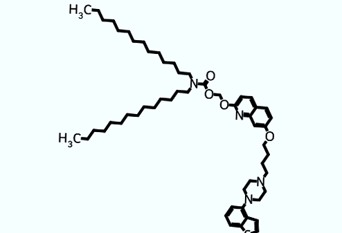 CCCCCCCCCCCCCCN(CCCCCCCCCCCCCC)C(=O)OCOc1ccc2ccc(OCCCCN3CCN(c4cccc5sccc45)CC3)cc2n1